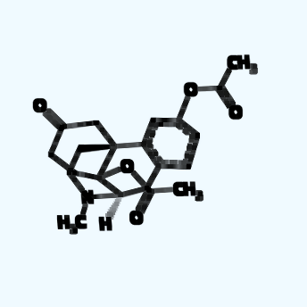 CC(=O)Oc1ccc2c(c1)[C@]13CCN(C)[C@H](C2)C1(OC(C)=O)CCC(=O)C3